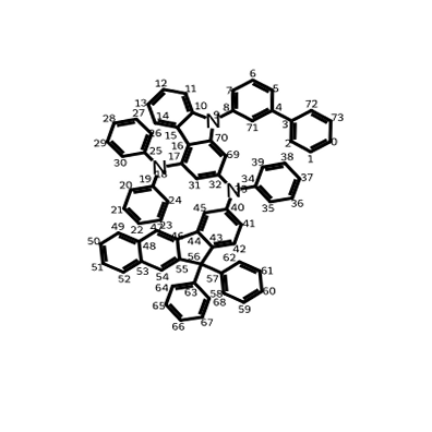 c1ccc(-c2cccc(-n3c4ccccc4c4c(N(c5ccccc5)c5ccccc5)cc(N(c5ccccc5)c5ccc6c(c5)-c5cc7ccccc7cc5C6(c5ccccc5)c5ccccc5)cc43)c2)cc1